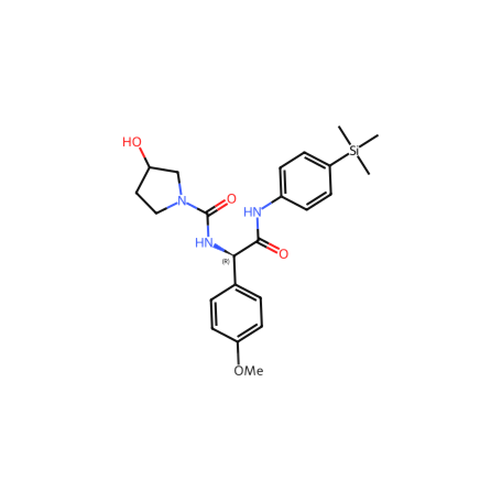 COc1ccc([C@@H](NC(=O)N2CCC(O)C2)C(=O)Nc2ccc([Si](C)(C)C)cc2)cc1